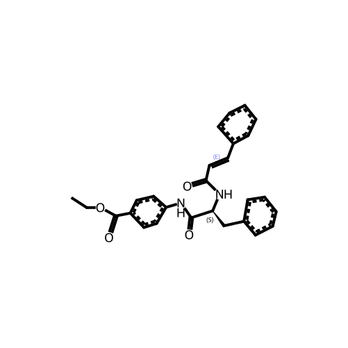 CCOC(=O)c1ccc(NC(=O)[C@H](Cc2ccccc2)NC(=O)/C=C/c2ccccc2)cc1